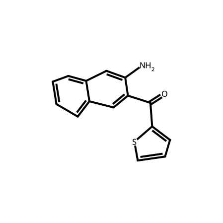 Nc1cc2ccccc2cc1C(=O)c1cccs1